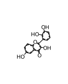 O=c1c(O)c(-c2cccc(O)c2O)oc2ccc(O)cc12